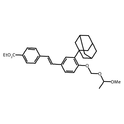 CCOC(=O)c1ccc(C=Cc2ccc(OCOC(C)OC)c(C34CC5CC(CC(C5)C3)C4)c2)cc1